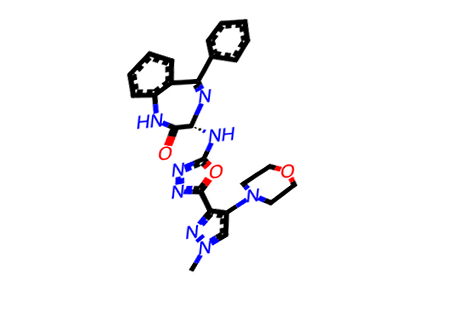 Cn1cc(N2CCOCC2)c(-c2nnc(N[C@H]3N=C(c4ccccc4)c4ccccc4NC3=O)o2)n1